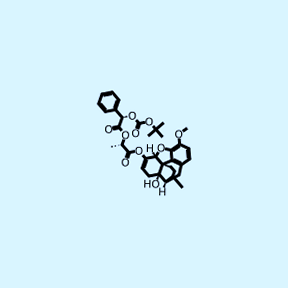 COc1ccc2c3c1O[C@H]1C(OC(=O)[C@H](C)OC(=O)[C@@H](OC(=O)OC(C)(C)C)c4ccccc4)=CC[C@@]4(O)[C@@H](C2)C(C)CC[C@]314